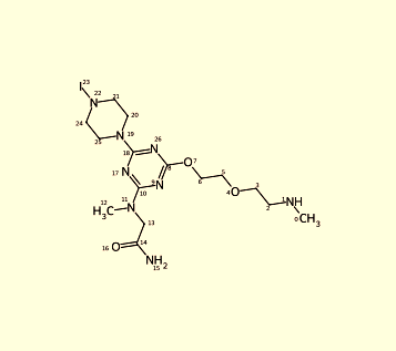 CNCCOCCOc1nc(N(C)CC(N)=O)nc(N2CCN(I)CC2)n1